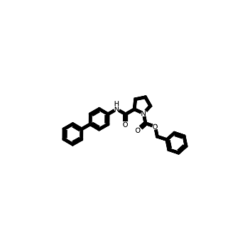 O=C(Nc1ccc(-c2ccccc2)cc1)C1CCCN1C(=O)OCc1ccccc1